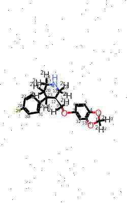 [2H]C1([2H])Oc2ccc(OC([2H])([2H])[C@@H]3C([2H])([2H])NC([2H])([2H])C([2H])([2H])C3([2H])c3ccc(F)cc3)cc2O1